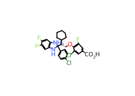 O=C(O)c1cc(F)c(OC[C@@H](C2CCCCC2)C2(c3ccc(Cl)cc3)Nc3cc(F)c(F)cc3N2)c(Cl)c1